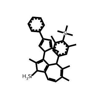 CC1=CC(c2ccccc2)=CC1C1=C(C)C([SiH3])C2=C1C(c1cc(C)c([Si](C)(C)C)c(C)c1)C(C)=C(C)C=C2